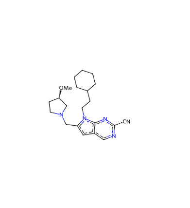 CO[C@@H]1CCN(Cc2cc3cnc(C#N)nc3n2CCC2CCCCC2)C1